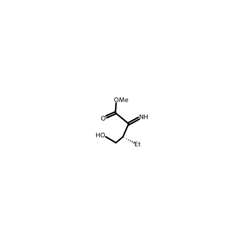 CC[C@H](CO)C(=N)C(=O)OC